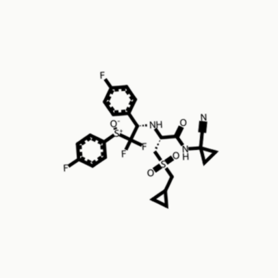 N#CC1(NC(=O)[C@H](CS(=O)(=O)CC2CC2)N[C@@H](c2ccc(F)cc2)C(F)(F)[S+]([O-])c2ccc(F)cc2)CC1